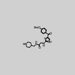 COc1ccc(C(=O)c2c[nH]c(NCC(=O)NCC3CCNCC3)n2)cc1